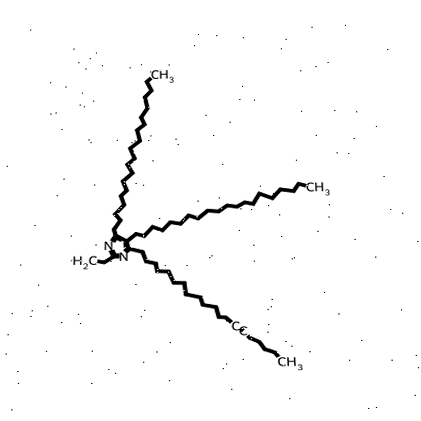 [CH2]Cc1nc(CCCCCCCCCCCCCCCCCCCC)c(CCCCCCCCCCCCCCCCCCCC)c(CCCCCCCCCCCCCCCCCCCC)n1